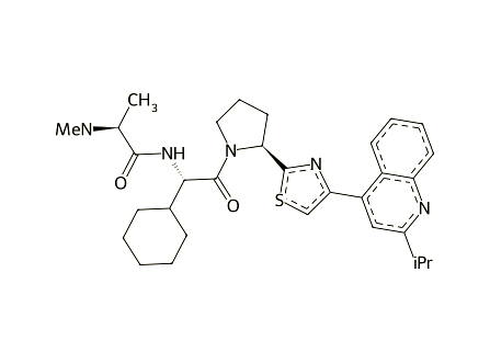 CN[C@@H](C)C(=O)N[C@H](C(=O)N1CCC[C@H]1c1nc(-c2cc(C(C)C)nc3ccccc23)cs1)C1CCCCC1